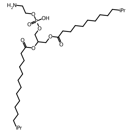 CC(C)CCCCCCCCCCCC(=O)OC(COC(=O)CCCCCCCCCC(C)C)COP(=O)(O)OCCN